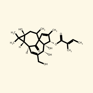 C/C=C(\C)C(=O)O[C@H]1C(C)=CC23C(=O)[C@@H](C=C(CO)[C@@H](O)[C@]12O)[C@@H]1C(C)(C)[C@]1(O)CC3C